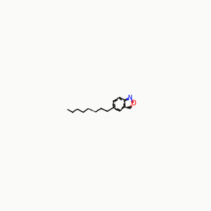 CCCCCCCCc1ccc2nocc2c1